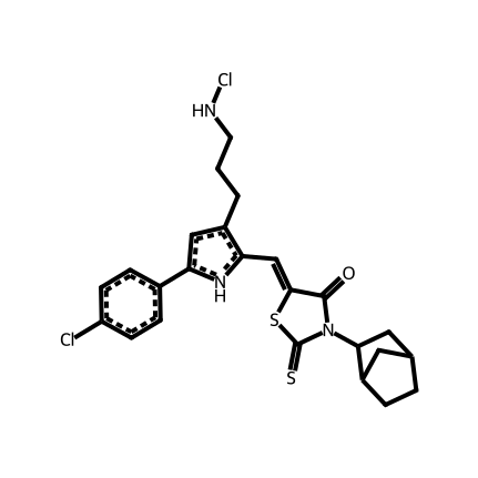 O=C1/C(=C/c2[nH]c(-c3ccc(Cl)cc3)cc2CCCNCl)SC(=S)N1C1CC2CCC1C2